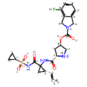 C=C[C@@H]1CC1(NC(=O)[C@@H]1C[C@@H](OC(=O)N2Cc3cccc(F)c3C2)CN1)C(=O)NS(=O)(=O)C1CC1